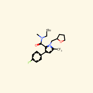 CN(CC(C)(C)C)C(=O)c1c(-c2ccc(F)cc2)cc(C(F)(F)F)n1CC1CCCO1